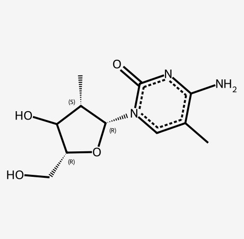 Cc1cn([C@@H]2O[C@H](CO)C(O)[C@@H]2C)c(=O)nc1N